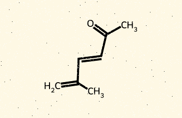 C=C(C)C=CC(C)=O